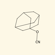 N#COC12CC3CC(CC(C3)C1)C2